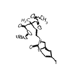 CC(C)(C)OC(=O)C(C)(CCN1Cc2cc(I)cn2C1=O)S(C)(=O)=O